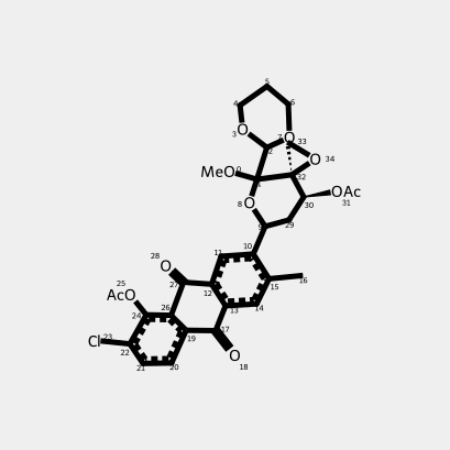 COC1(C2OCCCO2)OC(c2cc3c(cc2C)C(=O)c2ccc(Cl)c(OC(C)=O)c2C3=O)C[C@H](OC(C)=O)[C@@]12CO2